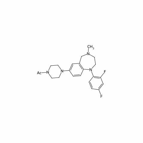 CC(=O)N1CCN(c2ccc3c(c2)CN(C)CCN3c2ccc(F)cc2F)CC1